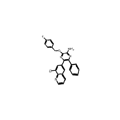 Nc1nc(-c2ccccc2)c(-c2cc(Cl)c3ncccc3c2)nc1OCc1ccc(F)cc1